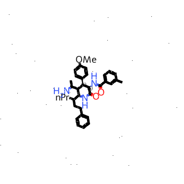 CCCC(CCc1ccccc1)C1NC(=O)[C@@H](NC(=O)c2cccc(C)c2)[C@H](c2ccc(OC)cc2)C1C(C)N